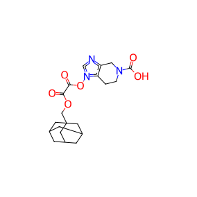 O=C(OCC12CC3CC(CC(C3)C1)C2)C(=O)On1cnc2c1CCN(C(=O)O)C2